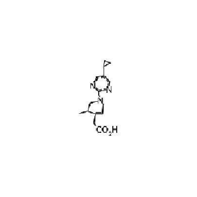 CC1CN(c2ncc(C3CC3)cn2)CC=C1CC(=O)O